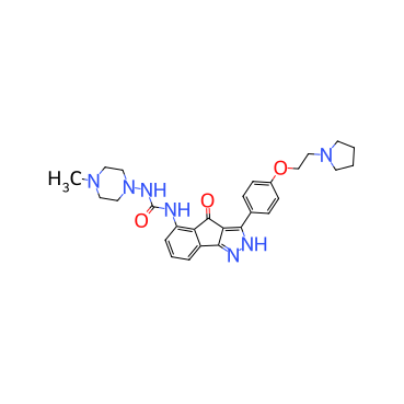 CN1CCN(NC(=O)Nc2cccc3c2C(=O)c2c-3n[nH]c2-c2ccc(OCCN3CCCC3)cc2)CC1